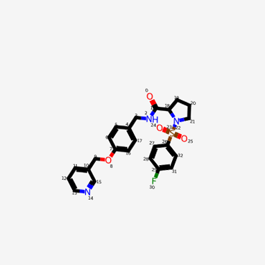 O=C(NCc1ccc(OCc2cccnc2)cc1)C1CCCN1S(=O)(=O)c1ccc(F)cc1